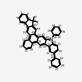 CC1(C)c2ccccc2-c2cc3c4ccccc4c4cc5c6cc(-c7ccccc7)ccc6n(-c6ccccc6)c5cc4c3cc21